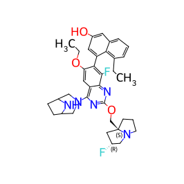 CCOc1cc2c(N3CC4CCC(C3)N4)nc(OC[C@@]34CCCN3C[C@H](F)C4)nc2c(F)c1-c1cc(O)cc2cccc(CC)c12